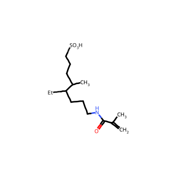 C=C(C)C(=O)NCCCC(CC)C(C)CCCS(=O)(=O)O